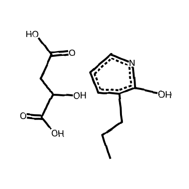 CCCc1cccnc1O.O=C(O)CC(O)C(=O)O